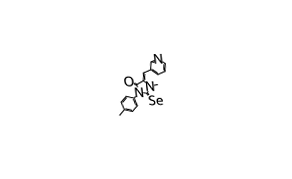 Cc1ccc(N2C(=O)C(=Cc3cccnc3)N(C)C2=[Se])cc1